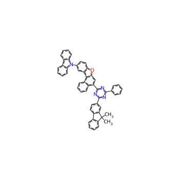 CC1(C)c2ccccc2-c2ccc(-c3nc(-c4ccccc4)nc(-c4cc5oc6ccc(-n7c8ccccc8c8ccccc87)cc6c5c5ccccc45)n3)cc21